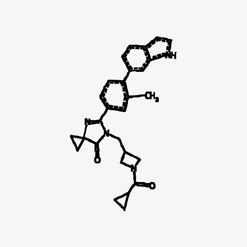 Cc1cc(C2=NC3(CC3)C(=O)N2CC2CN(C(=O)C3CC3)C2)ccc1-c1ccc2cc[nH]c2c1